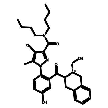 CCCCN(CCCC)C(=O)c1nn(-c2ccc(O)cc2C(=O)N2Cc3ccccc3C[C@H]2CO)c(C)c1Cl